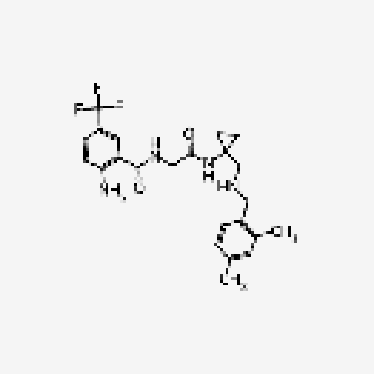 Cc1ccc(CNCC2(NC(=O)CNC(=O)c3cc(C(F)(F)F)ccc3N)CC2)c(C)c1